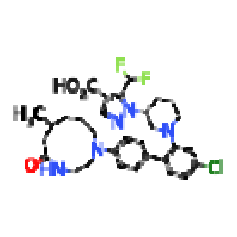 CC1CCCN(c2ccc(-c3ccc(Cl)cc3N3CCCC(n4ncc(C(=O)O)c4C(F)F)C3)cc2)CCNC(=O)C1